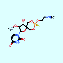 [C-]#[N+]CCOP1(=S)OCC2(CO1)O[C@@H](n1ccc(=O)[nH]c1=O)C(OC)[C@H]2O